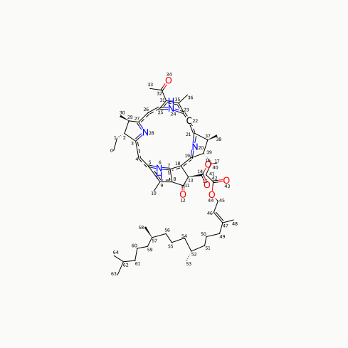 CC[C@H]1c2cc3[nH]c4c(c3C)C(=O)[C@H](C(=O)OC)c4c3nc(cc4[nH]c(cc(n2)[C@@H]1C)c(C(C)=O)c4C)[C@@H](C)[C@@H]3CCC(=O)OC/C=C(\C)CCC[C@H](C)CCC[C@H](C)CCCC(C)C